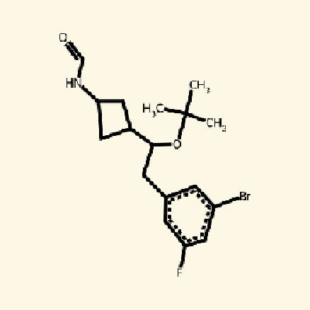 CC(C)(C)OC(Cc1cc(F)cc(Br)c1)C1CC(NC=O)C1